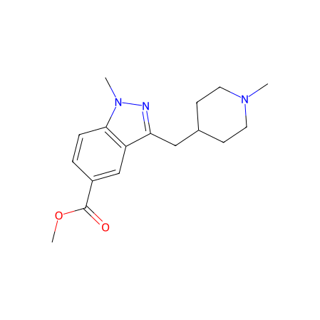 COC(=O)c1ccc2c(c1)c(CC1CCN(C)CC1)nn2C